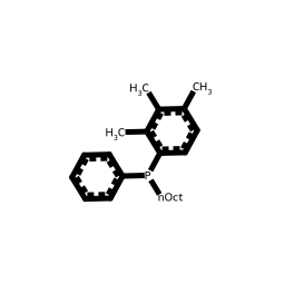 CCCCCCCCP(c1ccccc1)c1ccc(C)c(C)c1C